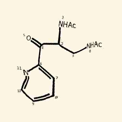 CC(=O)N[CH]C(NC(C)=O)C(=O)c1ccccn1